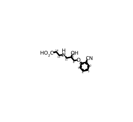 N#Cc1ccccc1OCC(O)CNCCC(=O)O